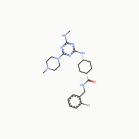 CNc1nc(N[C@H]2CC[C@@H](C(=O)NCc3ccccc3Cl)CC2)nc(N2CCN(C)CC2)n1